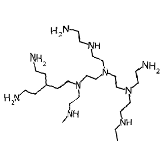 CCNCCN(CCN)CCN(CCNCCN)CCN(CCNC)CCC(CCN)CCN